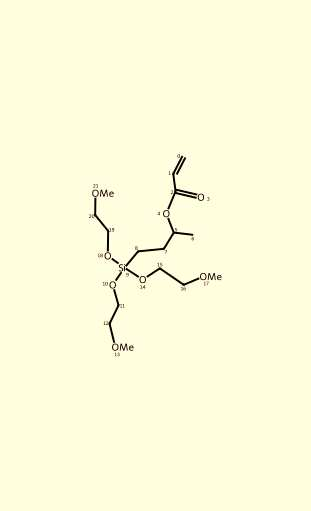 C=CC(=O)OC(C)CC[Si](OCCOC)(OCCOC)OCCOC